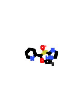 COC(c1ccccn1)[S+]([O-])c1ncc[nH]1